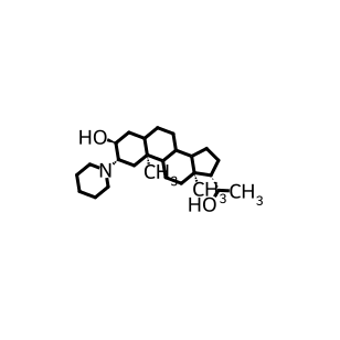 CC(O)[C@H]1CCC2C3CCC4C[C@H](O)[C@@H](N5CCCCC5)C[C@]4(C)C3CC[C@@]21C